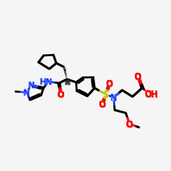 COCCN(CCC(=O)O)S(=O)(=O)c1ccc([C@@H](CC2CCCC2)C(=O)Nc2ccn(C)n2)cc1